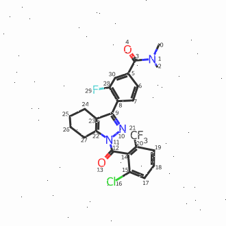 CN(C)C(=O)c1ccc(-c2nn(C(=O)c3c(Cl)cccc3C(F)(F)F)c3c2CCCC3)c(F)c1